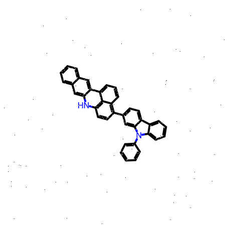 c1ccc(-n2c3ccccc3c3ccc(-c4ccc5c6c(cccc46)-c4cc6ccccc6cc4N5)cc32)cc1